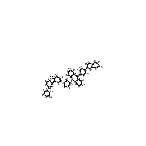 c1ccc(-c2ccc3oc4ccc(-c5cccc(-c6c7ccccc7c(-c7ccc(-c8ccc9ccccc9c8)cc7)c7ccccc67)c5)cc4c3c2)cc1